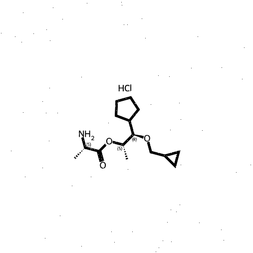 C[C@H](N)C(=O)O[C@@H](C)[C@H](OCC1CC1)C1CCCC1.Cl